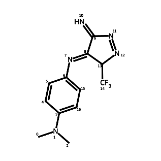 CN(C)c1ccc(N=C2C(=N)N=NC2C(F)(F)F)cc1